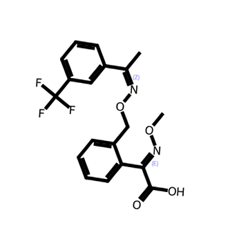 CO/N=C(/C(=O)O)c1ccccc1CO/N=C(/C)c1cccc(C(F)(F)F)c1